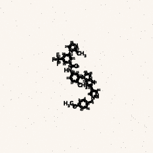 COc1ccc(Cn2cc(-c3cc4n(-c5cc(NC(=O)c6cc(-n7ccnc7C)cc(C(F)(F)F)c6)ccc5C)ccn4n3)cn2)cc1